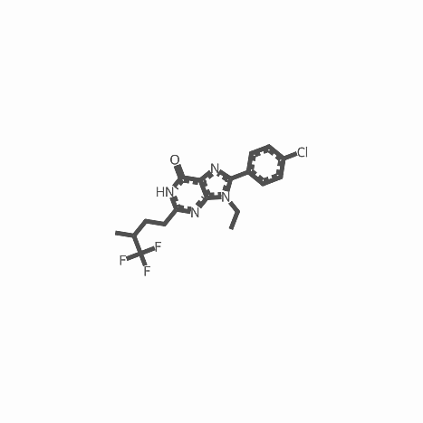 CCn1c(-c2ccc(Cl)cc2)nc2c(=O)[nH]c(CCC(C)C(F)(F)F)nc21